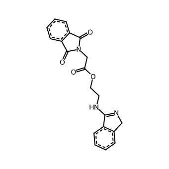 O=C(CN1C(=O)c2ccccc2C1=O)OCCNC1=NCc2ccccc21